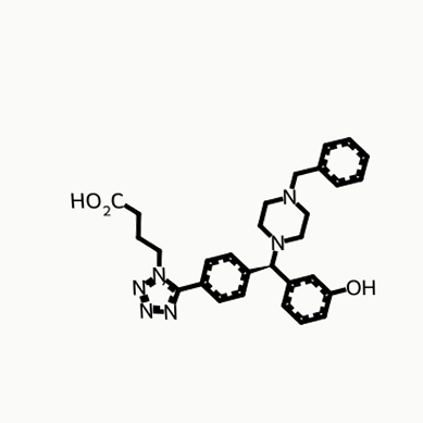 O=C(O)CCCn1nnnc1-c1ccc([C@H](c2cccc(O)c2)N2CCN(Cc3ccccc3)CC2)cc1